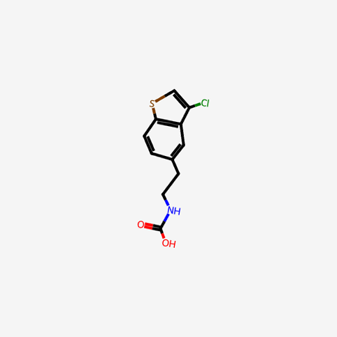 O=C(O)NCCc1ccc2scc(Cl)c2c1